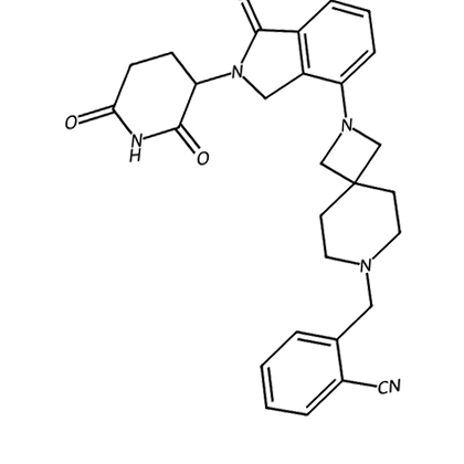 N#Cc1ccccc1CN1CCC2(CC1)CN(c1cccc3c1CN(C1CCC(=O)NC1=O)C3=O)C2